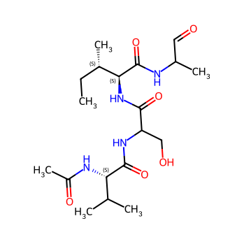 CC[C@H](C)[C@H](NC(=O)C(CO)NC(=O)[C@@H](NC(C)=O)C(C)C)C(=O)NC(C)C=O